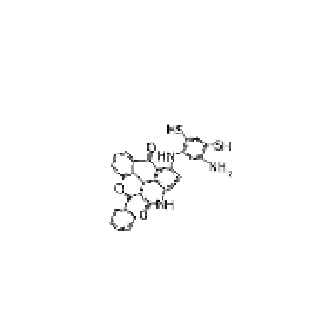 Nc1cc(Nc2ccc3[nH]c(=O)c(C(=O)c4ccccc4)c4c3c2C(=O)c2ccccc2-4)c(S)cc1S